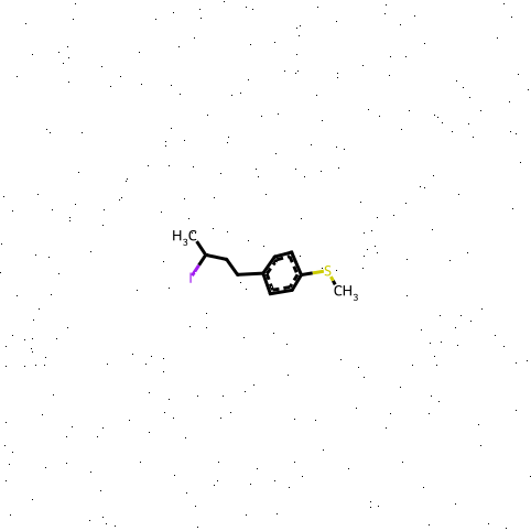 CSc1ccc(CCC(C)I)cc1